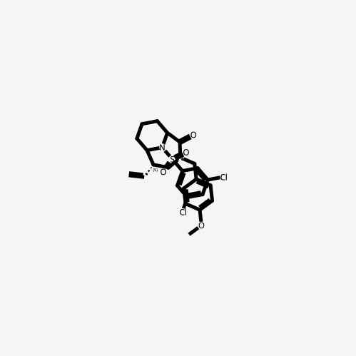 C=C[C@H]1CN(Cc2ccc(OC)cc2)C(=O)C2CCCC1N2S(=O)(=O)c1cc(Cl)cc(Cl)c1